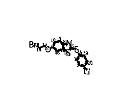 Clc1ccc(Sc2nc3ccc(OCCBr)cc3s2)cc1